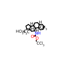 C[C@]12CC=CC[C@@H]1CC[C@@H]1[C@@H]2[C@H](NC(=O)OCC(Cl)(Cl)Cl)C[C@]2(C)[C@@H](C(=O)O)CC[C@@H]12